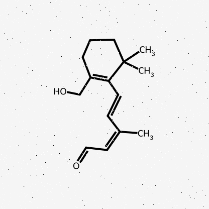 CC(=C/C=O)/C=C/C1=C(CO)CCCC1(C)C